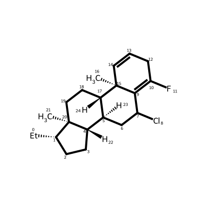 CC[C@H]1CC[C@H]2[C@@H]3CC(Cl)C4=C(F)CC=C[C@]4(C)[C@H]3CC[C@]12C